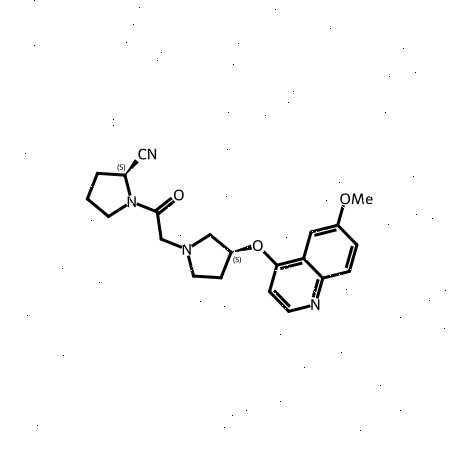 COc1ccc2nccc(O[C@H]3CCN(CC(=O)N4CCC[C@H]4C#N)C3)c2c1